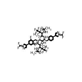 CC(=O)NC(C(=O)N[C@@H](Cc1ccc(-c2cnn(C(F)F)c2)cc1)[C@@H](O)CN(Cc1c(F)cc(-c2cnn(C(F)F)c2)cc1F)NC(=O)C(NC(C)=O)C(C)(C)C(F)(F)F)C(C)(C)C(F)(F)F